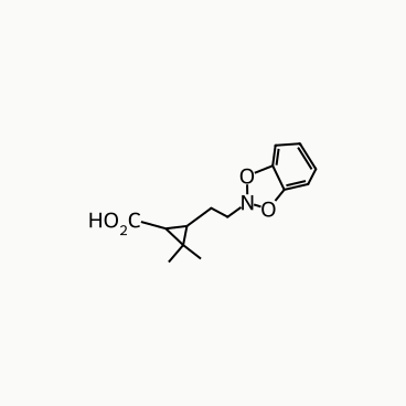 CC1(C)C(CCN2Oc3ccccc3O2)C1C(=O)O